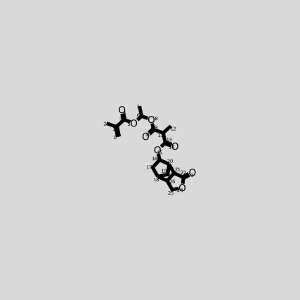 C=C(C)C(=O)OC(C)OC(=O)C(C)C(=O)OC1CC2CC1C1C(=O)OCC21